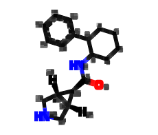 O=C(NC1CCCCC1c1ccccc1)[C@H]1[C@@H]2CNC[C@@H]21